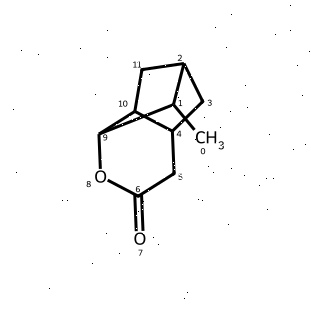 CC1C2CC3CC(=O)OC1C3C2